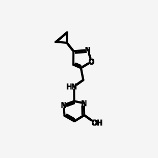 Oc1ccnc(NCc2cc(C3CC3)no2)n1